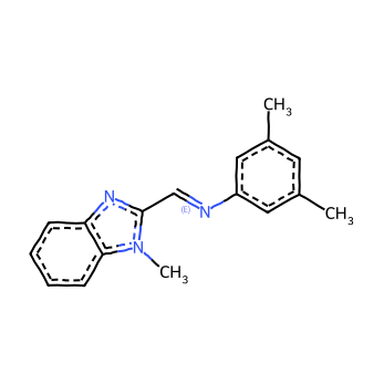 Cc1cc(C)cc(/N=C/c2nc3ccccc3n2C)c1